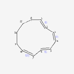 [CH]1/C=C/C=C\C=C\C=C/CCC1